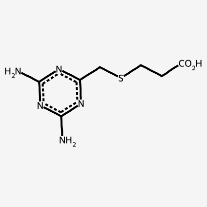 Nc1nc(N)nc(CSCCC(=O)O)n1